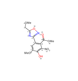 COCc1nc(-c2cc(OC)c(O)c([N+](=O)[O-])c2C(=O)OC)no1